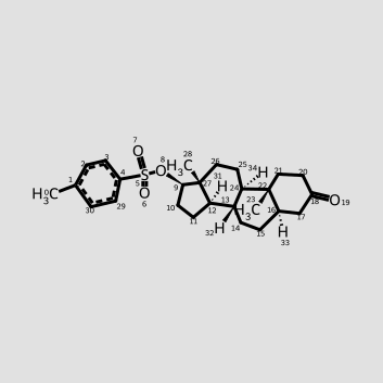 Cc1ccc(S(=O)(=O)O[C@@H]2CC[C@@H]3[C@H]4CC[C@@H]5CC(=O)CC[C@@]5(C)[C@@H]4CC[C@]32C)cc1